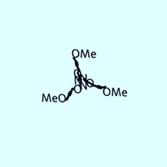 COCC#CCOc1nc(OCC#CCOC)nc(OCC#CCOC)n1